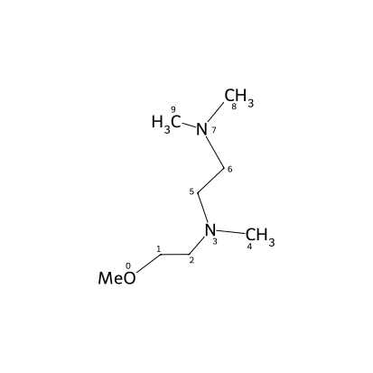 COCCN(C)CCN(C)C